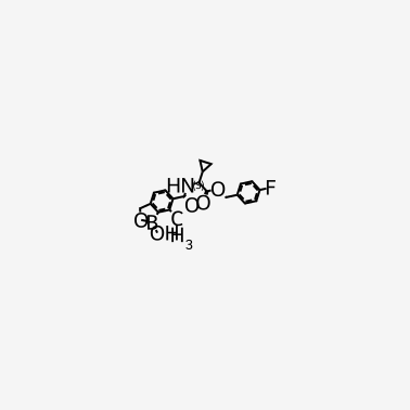 Cc1c(C(=O)N[C@H](C(=O)OCc2ccc(F)cc2)C2CC2)ccc2c1B(O)OC2